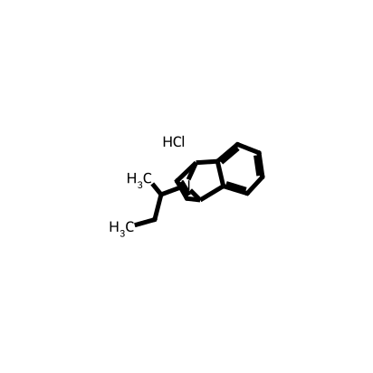 CCC(C)N1C2C=CC1c1ccccc12.Cl